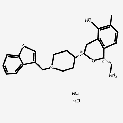 Cc1ccc2c(c1O)C[C@@H](C1CCN(Cc3csc4ccccc34)CC1)O[C@H]2CN.Cl.Cl